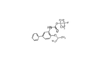 CC(C)Oc1ccc(-c2ccccc2)cc1NC(=O)OC(C)(C)C(F)(F)F